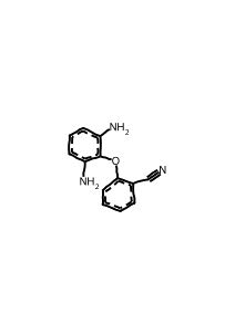 N#Cc1ccccc1Oc1c(N)cccc1N